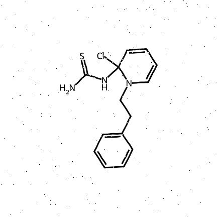 NC(=S)NC1(Cl)C=CC=CN1CCc1ccccc1